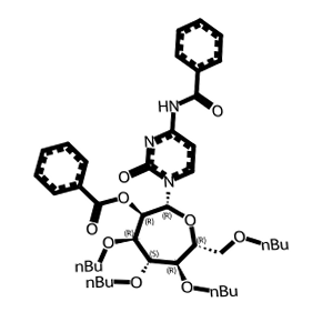 CCCCOC[C@H]1O[C@@H](n2ccc(NC(=O)c3ccccc3)nc2=O)[C@H](OC(=O)c2ccccc2)[C@H](OCCCC)[C@@H](OCCCC)[C@@H]1OCCCC